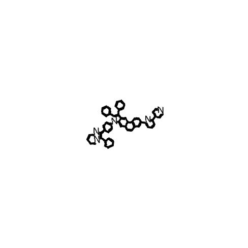 C1=Cc2nc(-c3ccc(-n4c(-c5ccccc5)c(-c5ccccc5)c5c4=CC4C=Cc6cc(-c7cccc(-c8ccncc8)n7)ccc6C4C=5)cc3)c(-c3ccccc3)n2CC1